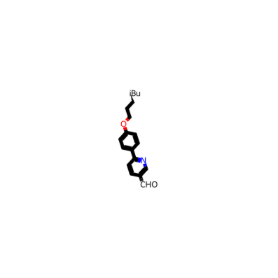 CC[C@H](C)CCCOc1ccc(-c2ccc(C=O)cn2)cc1